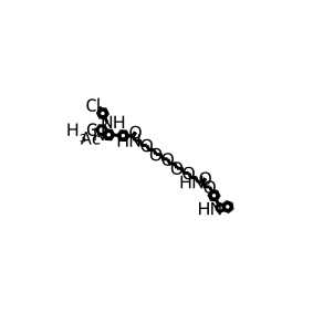 CC(=O)N1c2ccc(-c3ccc(C(=O)NCCOCCOCCOCCOCCOCCNC(=O)COc4ccc(C5NCc6ccccc65)cc4)cc3)cc2[C@H](Nc2ccc(Cl)cc2)C[C@@H]1C